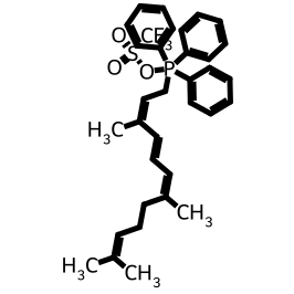 CC(C)=CCCC(C)=CC=CC(C)=CCP(OS(=O)(=O)C(F)(F)F)(c1ccccc1)(c1ccccc1)c1ccccc1